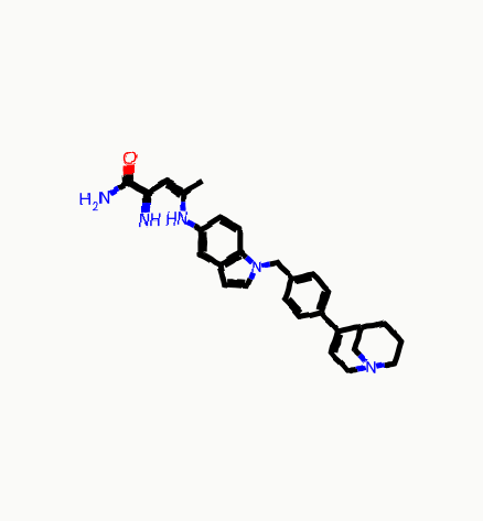 C/C(=C/C(=N)C(N)=O)Nc1ccc2c(ccn2Cc2ccc(C3=CCN4CCCC3C4)cc2)c1